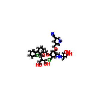 CC(CO)(CO)NCc1cc(Cl)c(OCC2(OCC(CO)CO)C=CC=C(c3ccccc3)C2(C)Cl)cc1OCc1cncc(C#N)c1